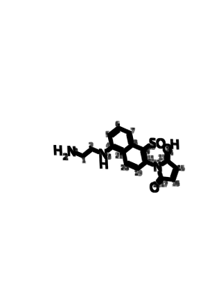 NCCNc1cccc2c(S(=O)(=O)O)c(N3C(=O)C=CC3=O)ccc12